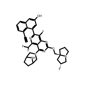 C#Cc1cccc2cc(O)cc(-c3nc(C(F)F)c4c(N5CC6CCC(C5)N6)nc(OC[C@@]56CCCN5C[C@H](F)C6)nc4c3F)c12